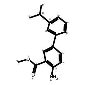 COC(=O)c1cc(-c2cccc(C(C)C)c2)ccc1N